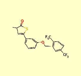 CC1C=C(c2cccc(OCc3cc(C(F)(F)F)ccc3C(F)(F)F)c2)SC1=O